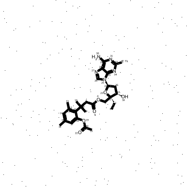 CC[C@]1(COC(=O)CC(C)(C)c2c(C)cc(C)cc2OC(C)=O)O[C@@H](n2cnc3c(N)nc(F)nc32)C[C@@H]1O